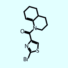 O=C(c1csc(Br)n1)N1CCCC2CCCC=C21